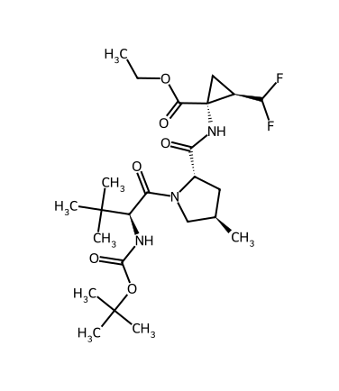 CCOC(=O)[C@@]1(NC(=O)[C@@H]2C[C@@H](C)CN2C(=O)[C@@H](NC(=O)OC(C)(C)C)C(C)(C)C)C[C@H]1C(F)F